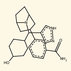 NC(=O)c1cccc(C2CC3CCC(C2)N3C(c2c[nH]nn2)C2CCC(O)CC2)c1